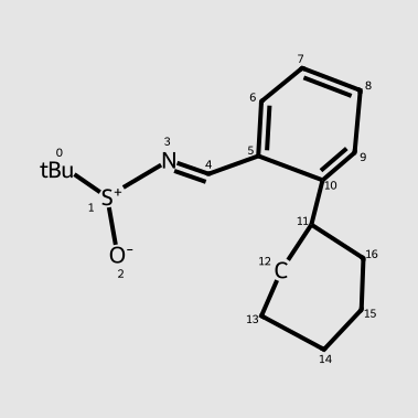 CC(C)(C)[S+]([O-])N=Cc1ccccc1C1CCCCC1